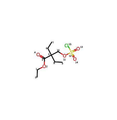 CCOC(=O)C(CC)(CC)COS(=O)(=O)Cl